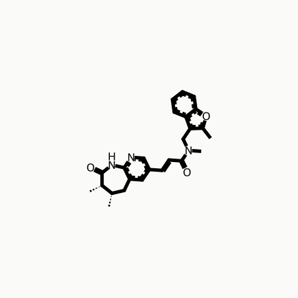 Cc1oc2ccccc2c1CN(C)C(=O)/C=C/c1cnc2c(c1)C[C@H](C)[C@H](C)C(=O)N2